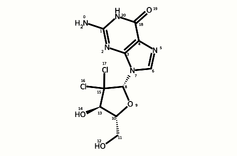 Nc1nc2c(ncn2[C@@H]2O[C@H](CO)[C@@H](O)C2(Cl)Cl)c(=O)[nH]1